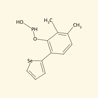 Cc1ccc(-c2ccc[se]2)c(OPO)c1C